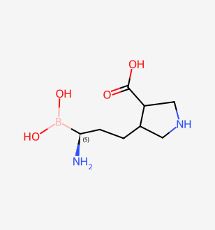 N[C@H](CCC1CNCC1C(=O)O)B(O)O